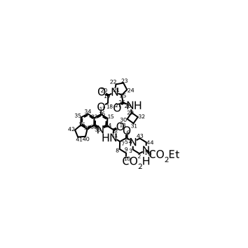 CCOC(=O)N1CCN(C(=O)C(CCC(=O)O)NC(=O)c2cc(OCC(=O)N3CCCC3C(=O)NC3CCC3)c3ccc4c(c3n2)CCC4)CC1